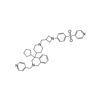 O=S(=O)(c1ccncc1)c1ccc(N2CC(CN3CCC(C4(C5CCCC5)CN(Cc5ccncc5)Cc5ccccc54)CC3)C2)cc1